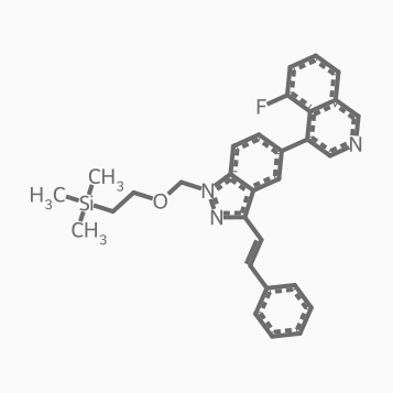 C[Si](C)(C)CCOCn1nc(C=Cc2ccccc2)c2cc(-c3cncc4cccc(F)c34)ccc21